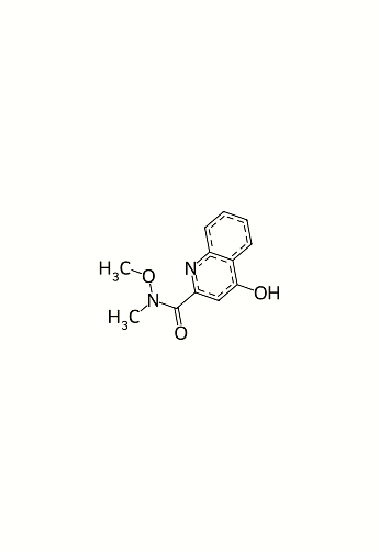 CON(C)C(=O)c1cc(O)c2ccccc2n1